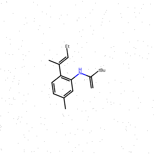 C=C(Nc1cc(C)ccc1/C(C)=C/CC)C(C)(C)C